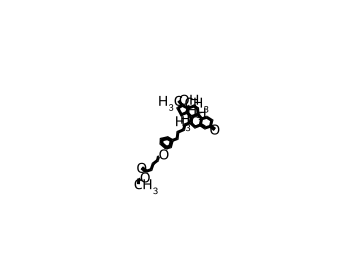 CCOC(=O)CCCCOc1cccc(CCCCC2CC3=CC(=O)CC[C@]3(C)[C@@H]3CC[C@@]4(C)[C@@H](CCC4(C)O)[C@H]23)c1